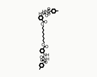 Cc1ccc(S(=O)(=O)NC(=O)Nc2cccc(C(=O)OCCCCCCCCCOC(=O)c3cccc(NC(=O)NS(=O)(=O)c4ccc(C)cc4)c3)c2)cc1